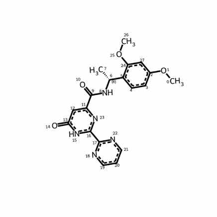 COc1ccc([C@@H](C)NC(=O)c2cc(=O)[nH]c(-c3ncccn3)n2)c(OC)c1